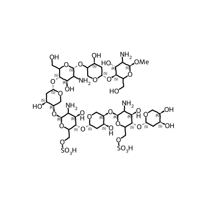 CO[C@H]1OC(CO)[C@@H](O[C@H]2C[C@H](O)C(O[C@H]3OC(CO)[C@@H](O[C@H]4C[C@H](O)[C@H](O[C@@H]5OC(COS(=O)(=O)O)[C@@H](O[C@H]6C[C@H](O)[C@H](O[C@@H]7OC(COS(=O)(=O)O)[C@@H](O[C@H]8C[C@H](O)[C@H](O)CO8)[C@H](O)C7N)CO6)[C@H](O)C5N)CO4)[C@H](O)C3N)CO2)[C@H](O)C1N